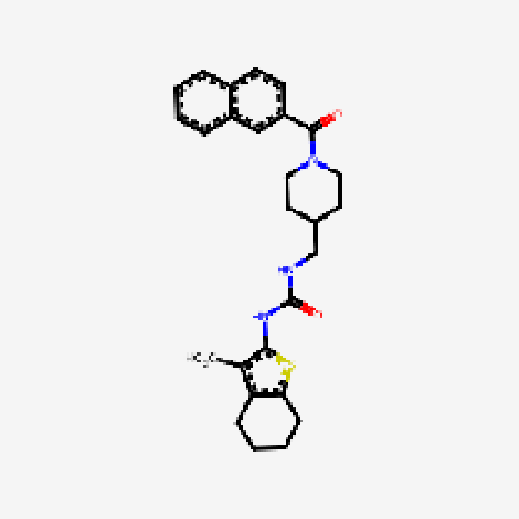 O=C(NCC1CCN(C(=O)c2ccc3ccccc3c2)CC1)Nc1sc2c(c1C(=O)O)CCCC2